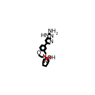 CC1(O)CC2CCC(C1)N2C(=O)N1CCOc2ccc(-c3cnc4nc(N)[nH]c4c3)cc2C1